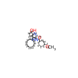 COCC1CCCCC(C(=O)Nc2cnc3c(c2C2CCCCCCCCCC2)CCC3O)CC1